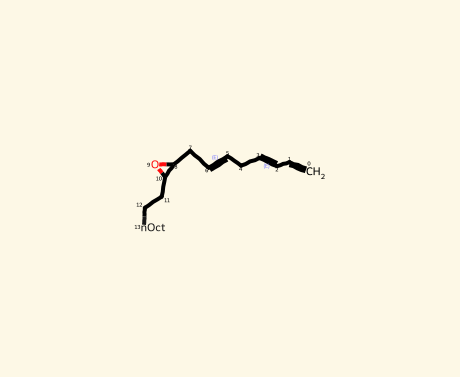 C=C/C=C/C/C=C/CC1OC1CCCCCCCCCC